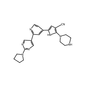 N#Cc1cc(-c2ccnc(-c3cnc(N4CCCC4)nc3)c2)[nH]c1N1CCNCC1